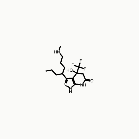 CCCC(CCCNC)c1n[nH]c2c1C(O)(C(F)(F)F)CC(=O)N2